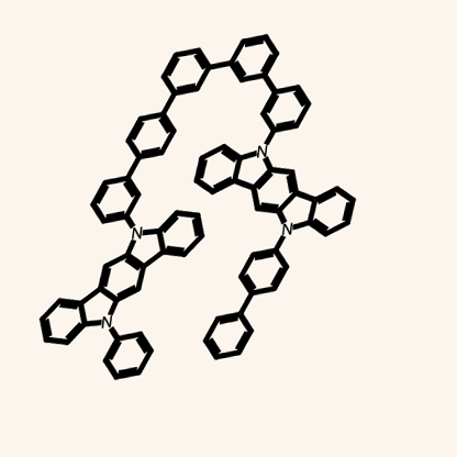 c1ccc(-c2ccc(-n3c4ccccc4c4cc5c(cc43)c3ccccc3n5-c3cccc(-c4cccc(-c5cccc(-c6ccc(-c7cccc(-n8c9ccccc9c9cc%10c(cc98)c8ccccc8n%10-c8ccccc8)c7)cc6)c5)c4)c3)cc2)cc1